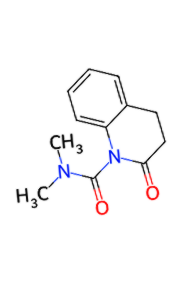 CN(C)C(=O)N1C(=O)CCc2ccccc21